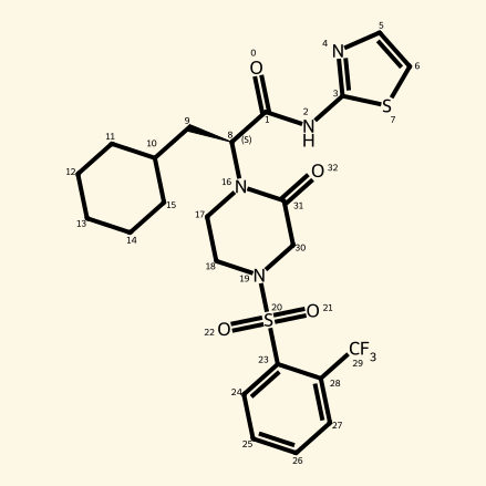 O=C(Nc1nccs1)[C@H](CC1CCCCC1)N1CCN(S(=O)(=O)c2ccccc2C(F)(F)F)CC1=O